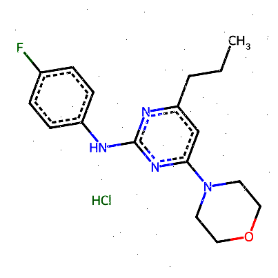 CCCc1cc(N2CCOCC2)nc(Nc2ccc(F)cc2)n1.Cl